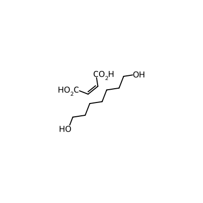 O=C(O)/C=C\C(=O)O.OCCCCCCCO